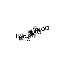 Cc1oc(-c2ccc(Cl)cc2)nc1C(=O)N1C[C@@H]2[C@H]3CN(C(=O)c4ccc5[nH]nnc5c4)C[C@H]3[C@@H]2C1